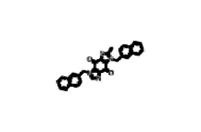 Cc1nc2c(n1Cc1ccc3ccccc3c1)C(=O)c1ncn(Cc3ccc4ccccc4c3)c1C2=O